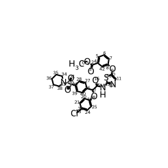 COC(=O)c1cccc(Oc2cnc(NC(=O)C(Oc3ccc(Cl)cc3)c3ccc(S(=O)(=O)N4CCCCC4)cc3)s2)c1